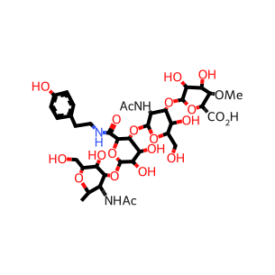 COC1C(C(=O)O)OC(OC2C(O)C(CO)OC(OC3C(C(=O)NCCc4ccc(O)cc4)OC(OC4C(O)C(CO)OC(C)C4NC(C)=O)C(O)C3O)C2NC(C)=O)C(O)C1O